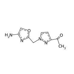 CC(=O)c1ccn(Cc2nc(N)co2)n1